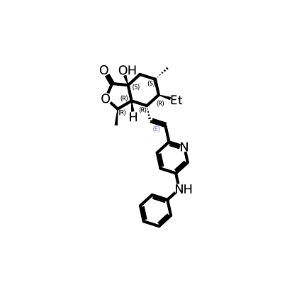 CC[C@H]1[C@H](/C=C/c2ccc(Nc3ccccc3)cn2)[C@@H]2[C@@H](C)OC(=O)[C@]2(O)C[C@@H]1C